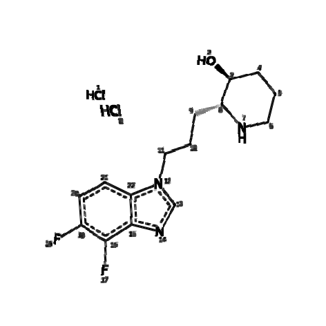 Cl.Cl.O[C@H]1CCCN[C@@H]1CCCn1cnc2c(F)c(F)ccc21